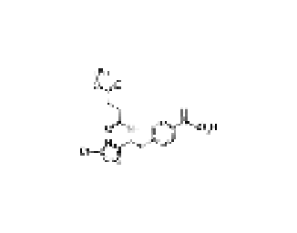 CCc1csc([C@H](Cc2ccc(NS(=O)(=O)O)cc2)NC(=O)CCC(=O)OC(C)(C)C)n1